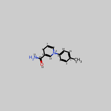 Cc1ccc(N2C=CCC(C(N)=O)=C2)cc1